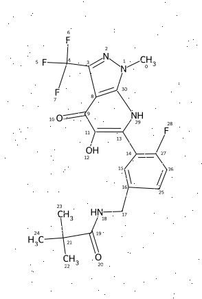 Cn1nc(C(F)(F)F)c2c(=O)c(O)c(-c3cc(CNC(=O)C(C)(C)C)ccc3F)[nH]c21